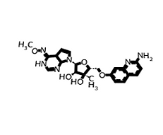 CO/N=C1\NC=NC2C1C=CN2[C@@H]1O[C@H](COc2ccc3ccc(N)nc3c2)[C@@](C)(O)[C@H]1O